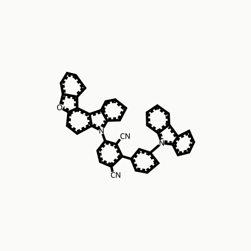 N#Cc1ccc(-n2c3ccccc3c3c4c(ccc32)oc2ccccc24)c(C#N)c1-c1cccc(-n2c3ccccc3c3ccccc32)c1